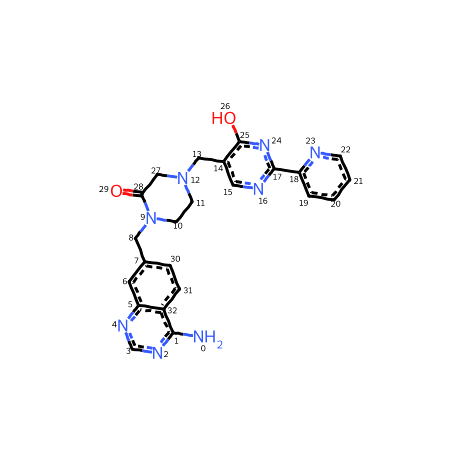 Nc1ncnc2cc(CN3CCN(Cc4cnc(-c5ccccn5)nc4O)CC3=O)ccc12